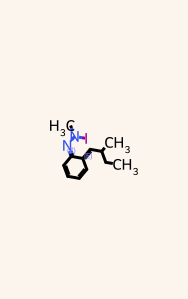 CCC(C)/C=C1\C=CC=C\C1=N\N(C)I